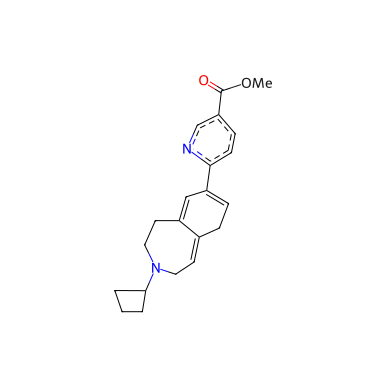 COC(=O)c1ccc(C2=CCC3=CCN(C4CCC4)CCC3=C2)nc1